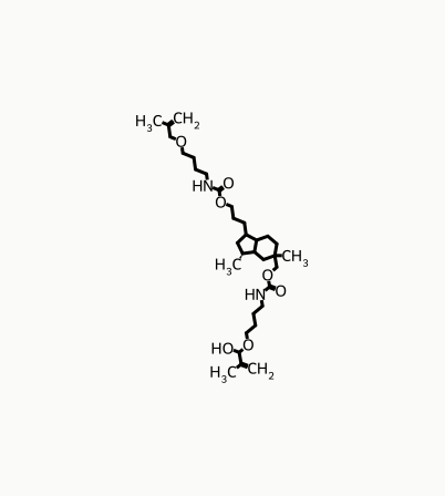 C=C(C)COCCCCNC(=O)OCCCC1C[C@@H](C)C2CC(C)(COC(=O)NCCCCOC(O)C(=C)C)CCC12